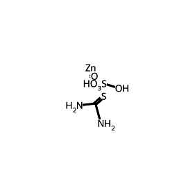 NC(N)=S.O=S(=O)(O)O.[O].[Zn]